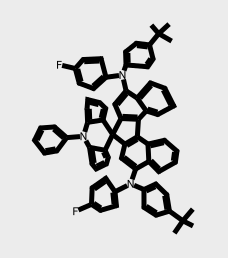 CC(C)(C)c1ccc(N(c2ccc(F)cc2)c2cc3c(c4ccccc24)-c2c(cc(N(c4ccc(F)cc4)c4ccc(C(C)(C)C)cc4)c4ccccc24)C32c3ccccc3N(c3ccccc3)c3ccccc32)cc1